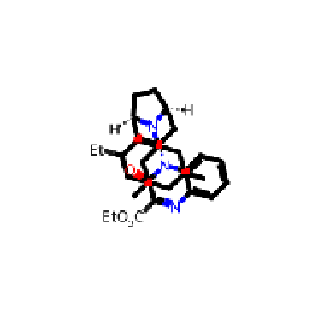 CCOC(=O)c1nc2ccccc2n([C@@H]2C[C@H]3CC[C@@H](C2)N3C23CC(C)CC(C)(CC(CC)C2)C3)c1=O